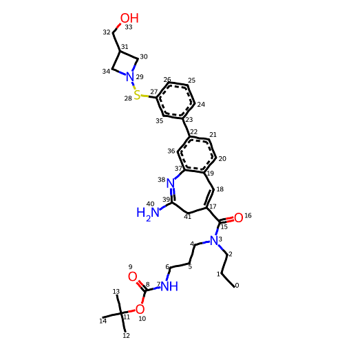 CCCN(CCCNC(=O)OC(C)(C)C)C(=O)C1=Cc2ccc(-c3cccc(SN4CC(CO)C4)c3)cc2N=C(N)C1